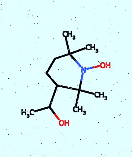 CC(O)C1CCC(C)(C)N(O)C1(C)C